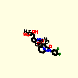 Cc1c(S(=O)(=O)NC2C(C)CCC2CC(C)(O)CO)c2n(c1C(=O)Nc1ccc(F)c(F)c1)CCCCC2